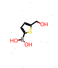 OCc1ccc(B(O)O)s1